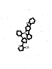 N#Cc1cccnc1-c1cccc(-c2ccccc2-n2c3ccccc3c3cc4c(cc32)oc2ccccc24)c1